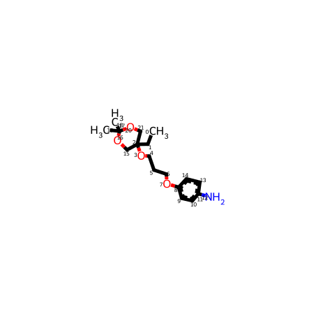 CCC1(OCCCOc2ccc(N)cc2)COC(C)(C)OC1